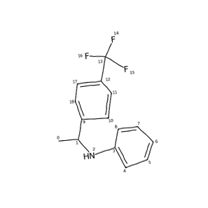 CC(Nc1ccccc1)c1ccc(C(F)(F)F)cc1